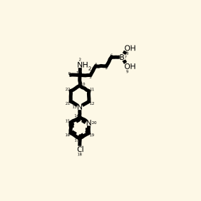 CC(N)(CCCCB(O)O)C1CCN(c2ccc(Cl)cn2)CC1